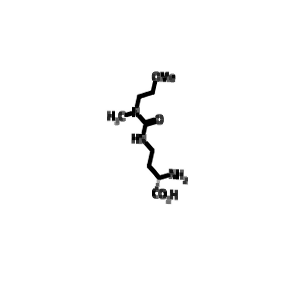 COCCN(C)C(=O)NCC[C@H](N)C(=O)O